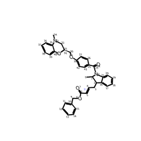 CC1C(C/C=C/C(=O)OCc2ccccc2)c2ccccc2N1C(=O)c1ccc(OC[C@@H]2CN(C)c3ccccc3O2)cc1